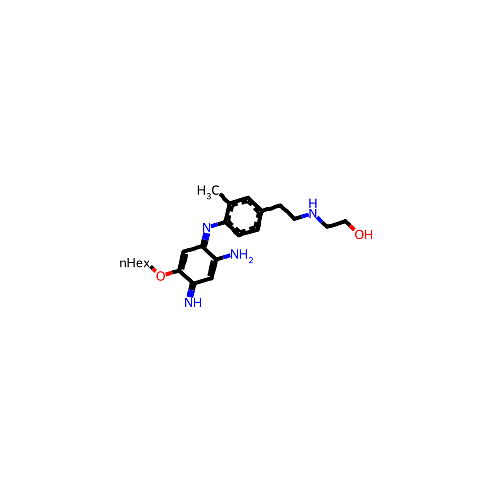 CCCCCCOC1=CC(=Nc2ccc(CCNCCO)cc2C)C(N)=CC1=N